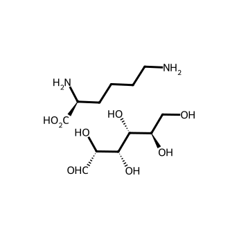 NCCCC[C@H](N)C(=O)O.O=C[C@H](O)[C@@H](O)[C@H](O)[C@H](O)CO